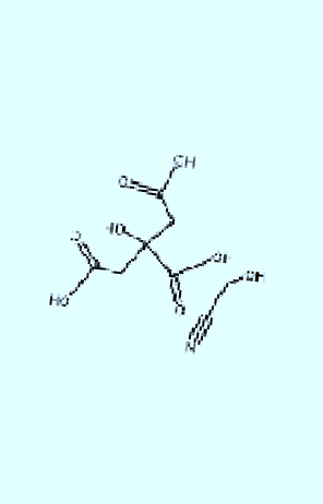 N#CCO.O=C(O)CC(O)(CC(=O)O)C(=O)O